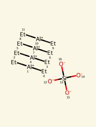 C[CH2][Al+][CH2]C.C[CH2][Al+][CH2]C.C[CH2][Al+][CH2]C.C[CH2][Al+][CH2]C.[O-][Si]([O-])([O-])[O-]